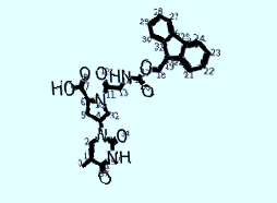 Cc1cn(C2CC(C(=O)O)N(C(=O)CNC(=O)OCC3c4ccccc4-c4ccccc43)C2)c(=O)[nH]c1=O